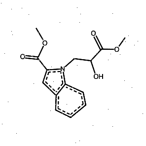 COC(=O)c1cc2ccccc2n1CC(O)C(=O)OC